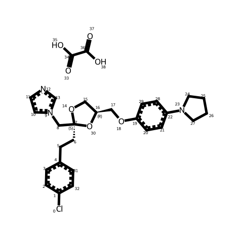 Clc1ccc(CC[C@]2(Cn3ccnc3)OC[C@@H](COc3ccc(N4CCCC4)cc3)O2)cc1.O=C(O)C(=O)O